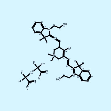 CC1(C)C(=C=CC2C[N+](C)(C)CC(/C=C/C3=[N+](CCO)c4ccccc4C3(C)C)=C2Cl)N(CCO)c2ccccc21.O=C([O-])C(F)(F)F.O=C([O-])C(F)(F)F